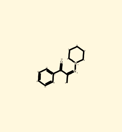 CC(=NN1CCCCC1)C(=O)c1ccccc1